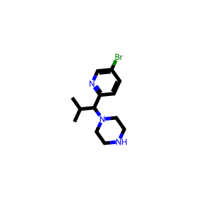 CC(C)C(c1ccc(Br)cn1)N1CCNCC1